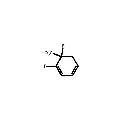 O=C(O)C1(F)CC=CC=C1F